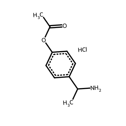 CC(=O)Oc1ccc(C(C)N)cc1.Cl